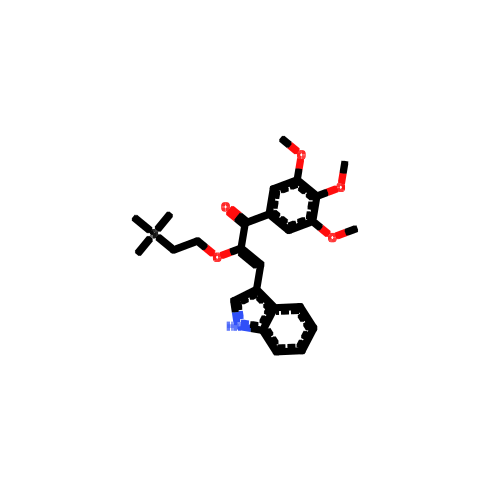 COc1cc(C(=O)/C(=C/c2c[nH]c3ccccc23)OCC[Si](C)(C)C)cc(OC)c1OC